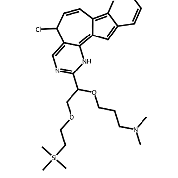 CN(C)CCCOC(COCC[Si](C)(C)C)C1=NC=C2C(=C3C=C4C=CCOC4=C3C=CC2Cl)N1